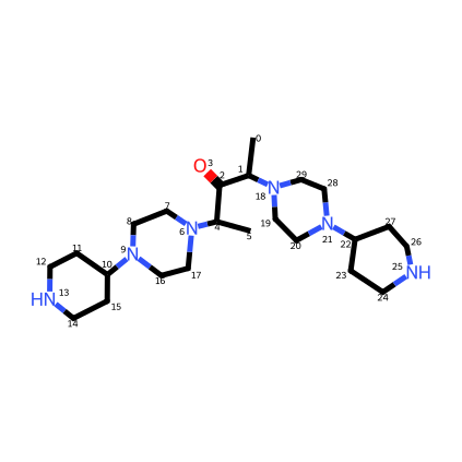 CC(C(=O)C(C)N1CCN(C2CCNCC2)CC1)N1CCN(C2CCNCC2)CC1